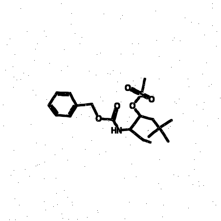 CCC(NC(=O)OCc1ccccc1)C(CC(C)(C)C)OS(C)(=O)=O